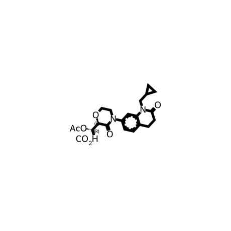 CC(=O)O[C@@H](C(=O)O)[C@H]1OCCN(c2ccc3c(c2)N(CC2CC2)C(=O)CC3)C1=O